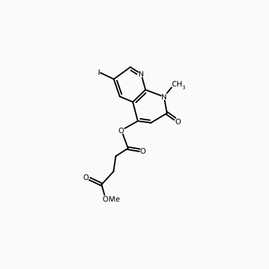 COC(=O)CCC(=O)Oc1cc(=O)n(C)c2ncc(I)cc12